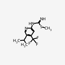 CSC(=N)Nc1cc(C(F)(F)F)c(C(C)C)cn1